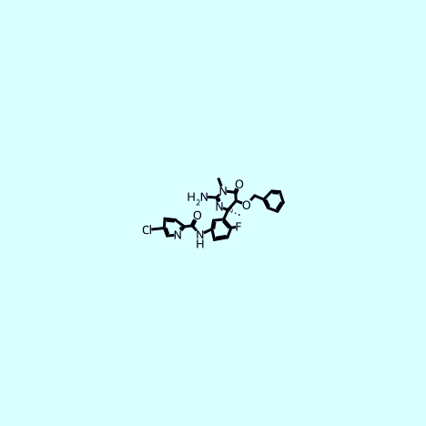 CN1C(=O)C(OCc2ccccc2)[C@@](C)(c2cc(NC(=O)c3ccc(Cl)cn3)ccc2F)N=C1N